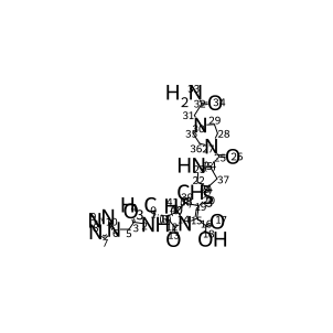 CC(NC(=O)Cn1cnnn1)[C@H]1C(=O)N2C(C(=O)O)=C(S[C@@H]3CN[C@H](C(=O)N4CCN(CC(N)=O)CC4)C3)[C@H](C)[C@H]12